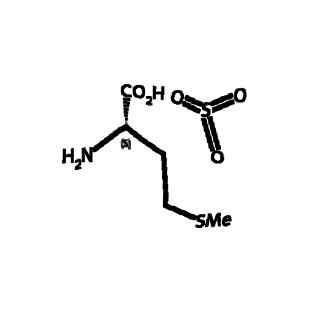 CSCC[C@H](N)C(=O)O.O=S(=O)=O